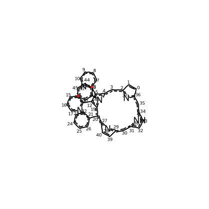 C1=Cc2cc3c(-c4ccccn4)c(-c4ccccn4)c(c(-c4ccccc4)c4nc(cc5ccc(cc1n2)[nH]5)C=C4)n3-c1ccccc1